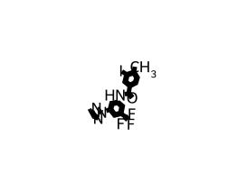 Cc1ccc(C(=O)Nc2cc(-n3nccn3)cc(C(F)(F)F)c2)cc1I